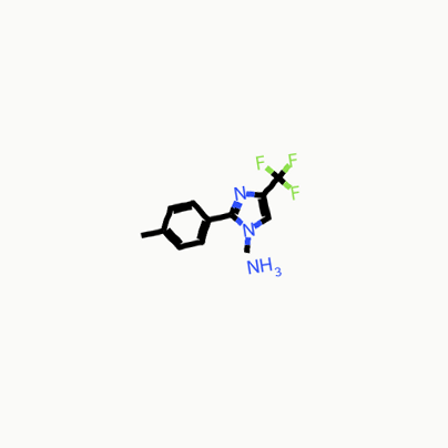 Cc1ccc(-c2nc(C(F)(F)F)cn2C)cc1.N